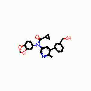 Cc1ncc(N(C(=O)C2CC2)c2ccc3c(c2)OCO3)cc1-c1cccc(CO)c1